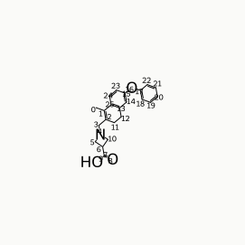 CC1=C(CN2CC(C(=O)O)C2)CCc2cc(Oc3ccccc3)ccc21